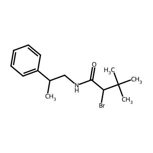 CC(CNC(=O)C(Br)C(C)(C)C)c1ccccc1